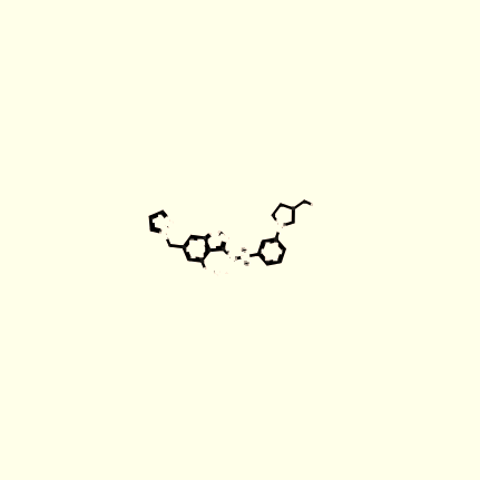 COc1cc(Cn2cccn2)cc2onc(NS(=O)(=O)c3cccc(N4CCC(CO)C4)c3)c12